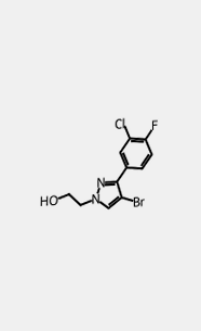 OCCn1cc(Br)c(-c2ccc(F)c(Cl)c2)n1